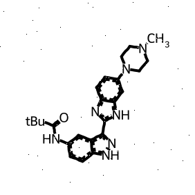 CN1CCN(c2ccc3nc(-c4n[nH]c5ccc(NC(=O)C(C)(C)C)cc45)[nH]c3c2)CC1